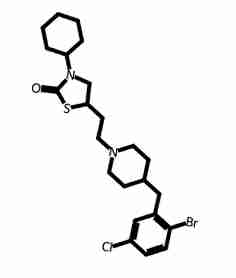 O=C1SC(CCN2CCC(Cc3cc(Cl)ccc3Br)CC2)CN1C1CCCCC1